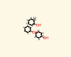 Oc1ccccc1.Oc1ccccc1.Oc1ccccc1.[Li]